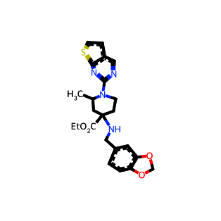 CCOC(=O)C1(NCc2ccc3c(c2)OCO3)CCN(c2ncc3ccsc3n2)C(C)C1